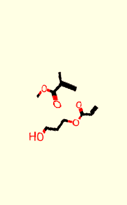 C=C(C)C(=O)OC.C=CC(=O)OCCCO